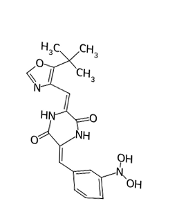 CC(C)(C)c1ocnc1/C=c1\[nH]c(=O)/c(=C/c2cccc(N(O)O)c2)[nH]c1=O